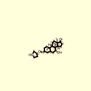 C[C@]12CCC(=NO[C@@H]3CCNC3)CC1C[C@@H](O)[C@@H]1[C@@H]2CC[C@]2(C)C(=O)CC[C@@H]12